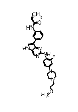 C=CC(=O)Nc1cccc(-c2c[nH]c3cnc(Nc4ccc(N5CCN(CCOC)CC5)cc4F)nc23)c1